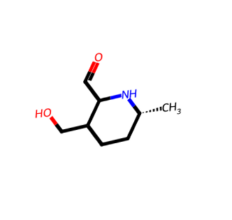 C[C@@H]1CCC(CO)C(C=O)N1